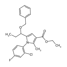 CCOC(=O)c1cc(C(CC)OCc2ccccc2)n(-c2ccc(F)cc2Cl)c1C